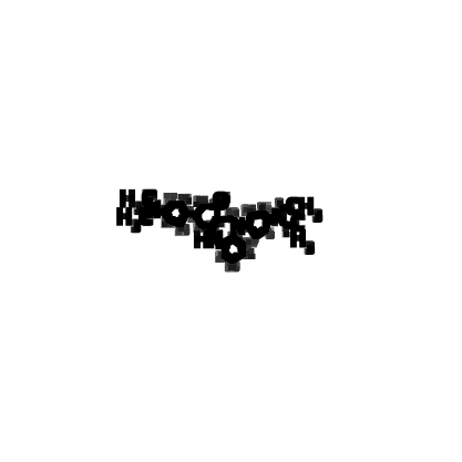 CCN(CC)c1ccc(N2CC3=C(CC(c4ccc(N(C)C)cc4)CC3=O)Nc3ccccc32)cc1